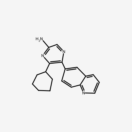 Nc1cnc(-c2ccc3ncccc3c2)c(C2CCCCC2)n1